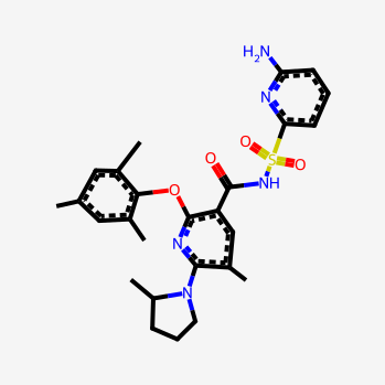 Cc1cc(C)c(Oc2nc(N3CCCC3C)c(C)cc2C(=O)NS(=O)(=O)c2cccc(N)n2)c(C)c1